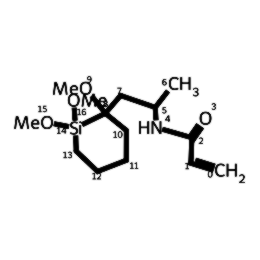 C=CC(=O)NC(C)CC1(OC)CCCC[Si]1(OC)OC